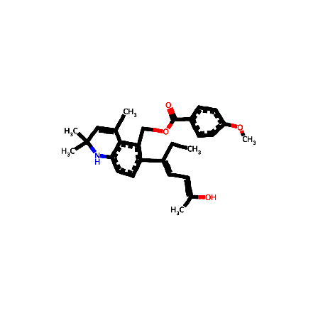 CC/C(=C\C=C(/C)O)c1ccc2c(c1COC(=O)c1ccc(OC)cc1)C(C)=CC(C)(C)N2